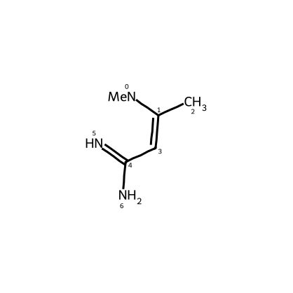 CN/C(C)=C\C(=N)N